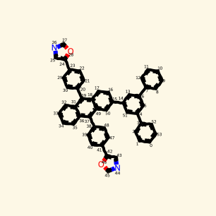 c1ccc(-c2cc(-c3ccccc3)cc(-c3ccc4c(-c5ccc(-c6cnco6)cc5)c5ccccc5c(-c5ccc(-c6cnco6)cc5)c4c3)c2)cc1